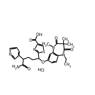 CCN1C(=O)C(C)(C)C(=O)N(C)c2cc(OC(CCC(C(N)=O)c3cccnc3)c3nc(C(=O)O)cs3)ccc21.Cl